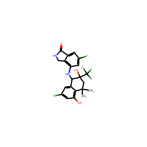 CC1(C)CC(O)(C(F)(F)F)C(Nc2cc(F)cc3c2CNC3=O)c2cc(Cl)cc(O)c21